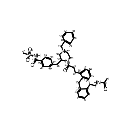 CC(=O)NCCc1ccccc1Cc1ccccc1CCC(=O)N1CCN(Cc2ccccc2)CC1Cc1ccc(C(=O)NS(C)(=O)=O)cc1